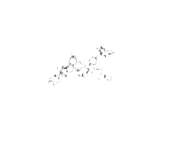 Cl.NC[C@H]1CC[C@H](C(=O)N(c2ccc(-c3nnc(Cl)[nH]3)cc2)[C@@H](Cc2cccc(-c3cnc(N4CCOCC4)nc3)c2)C(N)=O)CC1